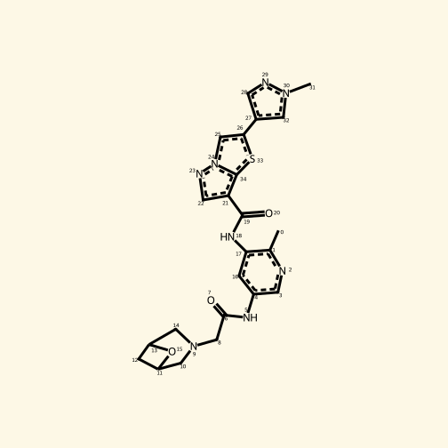 Cc1ncc(NC(=O)CN2CC3CC(C2)O3)cc1NC(=O)c1cnn2cc(-c3cnn(C)c3)sc12